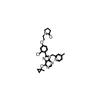 Cc1ccnc(Cn2c(-c3ccc(OCCN4CCCC4=O)cc3Cl)nc3c(OC4(C)CC4)ncnc32)c1